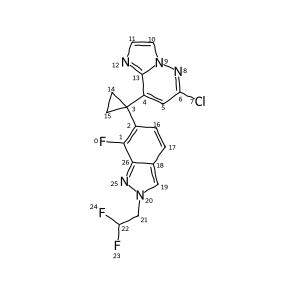 Fc1c(C2(c3cc(Cl)nn4ccnc34)CC2)ccc2cn(CC(F)F)nc12